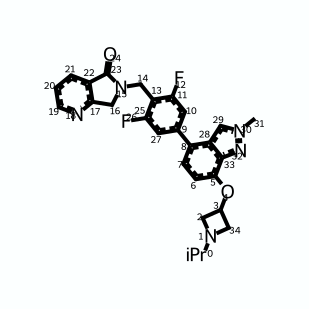 CC(C)N1CC(Oc2ccc(-c3cc(F)c(CN4Cc5ncccc5C4=O)c(F)c3)c3cn(C)nc23)C1